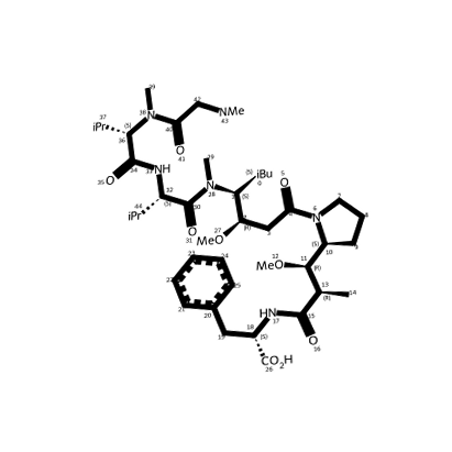 CC[C@H](C)[C@@H]([C@@H](CC(=O)N1CCC[C@H]1[C@H](OC)[C@@H](C)C(=O)N[C@@H](Cc1ccccc1)C(=O)O)OC)N(C)C(=O)[C@@H](NC(=O)[C@H](C(C)C)N(C)C(=O)CNC)C(C)C